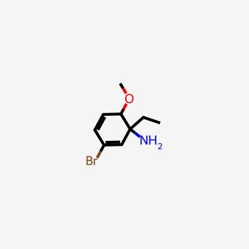 CCC1(N)C=C(Br)C=CC1OC